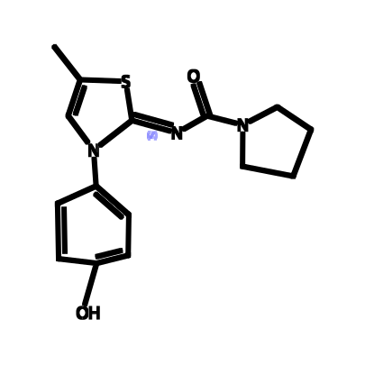 Cc1cn(-c2ccc(O)cc2)/c(=N/C(=O)N2CCCC2)s1